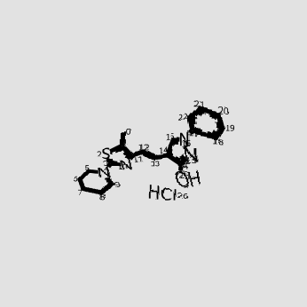 Cc1sc(N2CCCCC2)nc1/C=C/c1cn(-c2ccccc2)nc1O.Cl